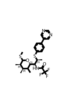 CSC1O[C@H]([C@H](NC(=O)C(F)(F)F)[C@H](C)Sc2ccc(-c3cncnc3)cc2)C(C)[C@@H](C)[C@H]1C